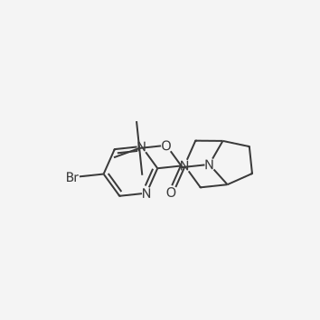 CC(C)(C)OC(=O)N1C2CCC1CN(c1ncc(Br)cn1)C2